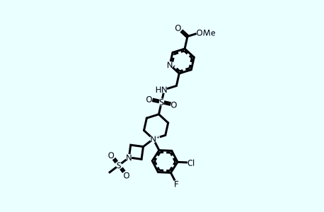 COC(=O)c1ccc(CNS(=O)(=O)C2CC[N+](c3ccc(F)c(Cl)c3)(C3CN(S(C)(=O)=O)C3)CC2)nc1